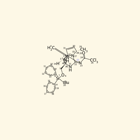 C=C1N[C@H]2[C@H](CO[Si](c3ccccc3)(c3ccccc3)C(C)(C)C)N/C(=N/C(=O)C(Cl)(Cl)Cl)N3[C@@H](C)C=CC23N1